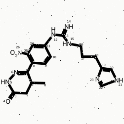 CC1CC(=O)NN=C1c1ccc(NC(=N)NCCCc2c[nH]cn2)cc1[N+](=O)[O-]